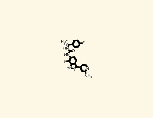 Cc1cc(-c2n[nH]c3c(F)c(NC(=O)N[C@H](C)c4ccc(F)cc4)ccc23)ccn1